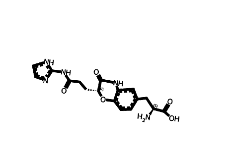 N[C@@H](Cc1ccc2c(c1)NC(=O)[C@@H](CCC(=O)Nc1ncc[nH]1)O2)C(=O)O